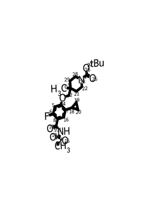 CC1(COc2cc(F)c(C(=O)NS(C)(=O)=O)cc2C2CC2)CCN(C(=O)OC(C)(C)C)CC1